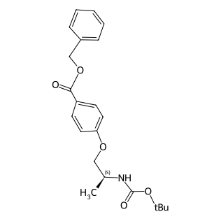 C[C@@H](COc1ccc(C(=O)OCc2ccccc2)cc1)NC(=O)OC(C)(C)C